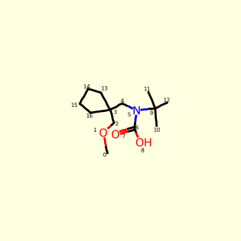 COCC1(CN(C(=O)O)C(C)(C)C)CCCC1